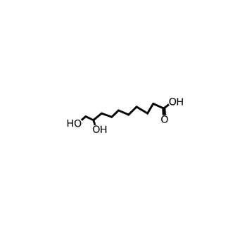 O=C(O)CCCCCCCC(O)CO